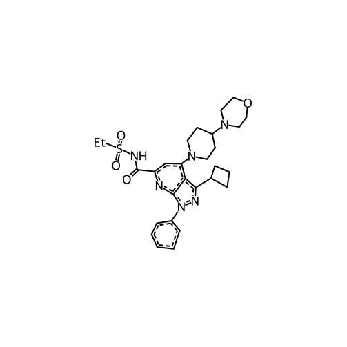 CCS(=O)(=O)NC(=O)c1cc(N2CCC(N3CCOCC3)CC2)c2c(C3CCC3)nn(-c3ccccc3)c2n1